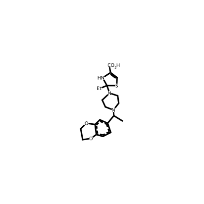 CCC1(N2CCN(C(C)c3ccc4c(c3)OCCO4)CC2)NC(C(=O)O)=CS1